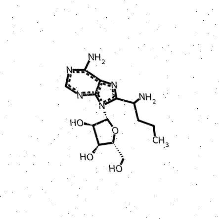 CCCC(N)c1nc2c(N)ncnc2n1[C@@H]1O[C@H](CO)[C@@H](O)[C@H]1O